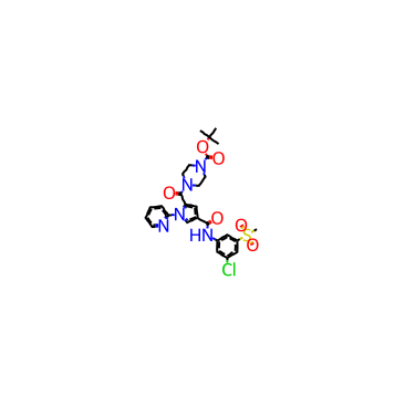 CC(C)(C)OC(=O)N1CCN(C(=O)c2cc(C(=O)Nc3cc(Cl)cc(S(C)(=O)=O)c3)cn2-c2ccccn2)CC1